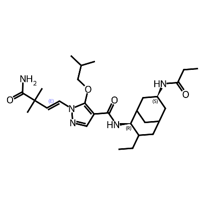 CCC(=O)N[C@H]1CC2CC(CC)[C@@H](NC(=O)c3cnn(/C=C/C(C)(C)C(N)=O)c3OCC(C)C)C(C2)C1